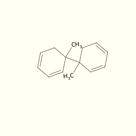 CC1(C2(C)C=CC=CC2)C=CC=CC1